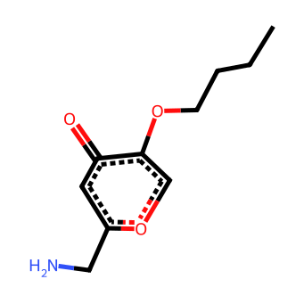 CCCCOc1coc(CN)cc1=O